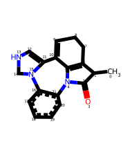 CC1C(=O)N2C3=C1CCC=C3C1=CNCN1c1ccccc12